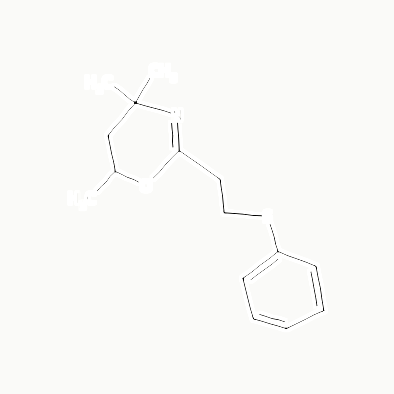 CC1CC(C)(C)N=C(CCSc2ccccc2)O1